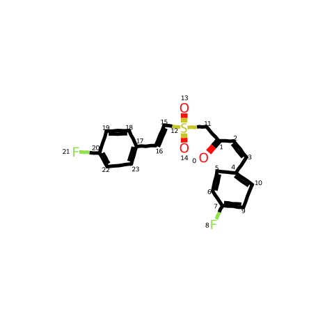 O=C(/C=C\c1ccc(F)cc1)CS(=O)(=O)C=Cc1ccc(F)cc1